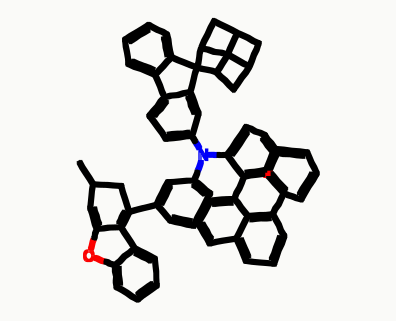 CC1C=c2oc3ccccc3c2=C(c2cccc(N(c3ccc4c(c3)C3(c5ccccc5-4)C4CC5CC6CC3C564)c3ccccc3-c3cccc4cccc(-c5ccccc5)c34)c2)C1